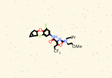 COCCN(CC(C)C)c1nc(C(=O)Nc2cc(F)c(OC3CC4CC4C3)c(F)c2)c(CC(F)(F)F)o1